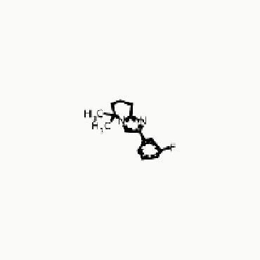 CC1(C)CCCc2nc(-c3cccc(F)c3)cn21